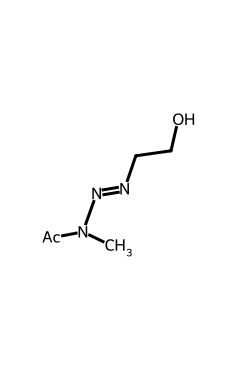 CC(=O)N(C)N=NCCO